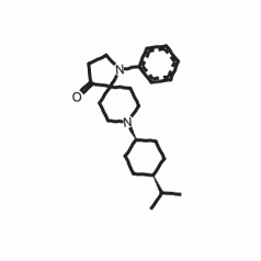 CC(C)[C@H]1CC[C@@H](N2CCC3(CC2)C(=O)CCN3c2ccccc2)CC1